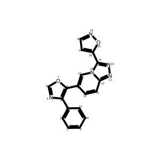 c1ccc(-c2ncoc2-c2ccc3nnc(-c4ccno4)n3c2)cc1